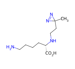 CC1(CCN[C@@H](CCCCN)C(=O)O)N=N1